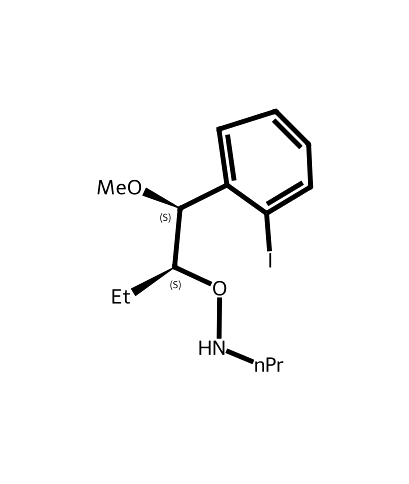 CCCNO[C@@H](CC)[C@@H](OC)c1ccccc1I